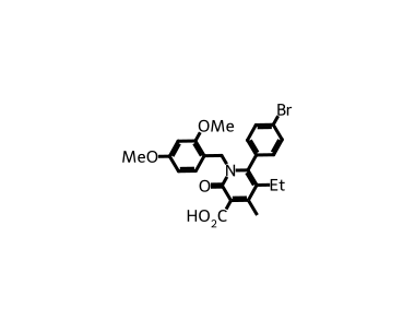 CCc1c(C)c(C(=O)O)c(=O)n(Cc2ccc(OC)cc2OC)c1-c1ccc(Br)cc1